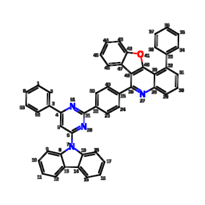 c1ccc(-c2cc(-n3c4ccccc4c4ccccc43)nc(-c3ccc(-c4nc5cccc(-c6ccccc6)c5c5oc6ccccc6c45)cc3)n2)cc1